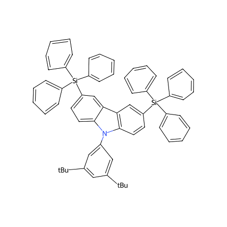 CC(C)(C)c1cc(-n2c3ccc([Si](c4ccccc4)(c4ccccc4)c4ccccc4)cc3c3cc([Si](c4ccccc4)(c4ccccc4)c4ccccc4)ccc32)cc(C(C)(C)C)c1